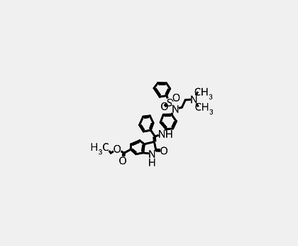 CCOC(=O)c1ccc2c(c1)NC(=O)/C2=C(\Nc1ccc(N(CCN(C)C)S(=O)(=O)c2ccccc2)cc1)c1ccccc1